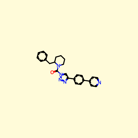 O=C(N1CCCCC1Cc1ccccc1)n1cc(-c2ccc(-c3ccncc3)cc2)nn1